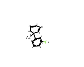 CC(=O)C1(c2cccc(F)c2)C=CC=CC1